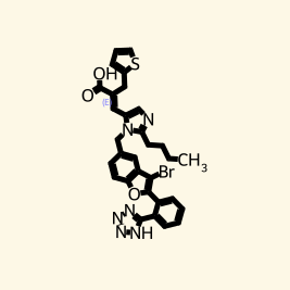 CCCCc1ncc(/C=C(\Cc2cccs2)C(=O)O)n1Cc1ccc2oc(-c3ccccc3-c3nnn[nH]3)c(Br)c2c1